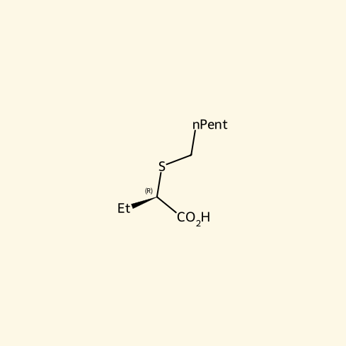 CCCCCCS[C@H](CC)C(=O)O